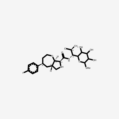 CSC1OC([C@H](NC(=O)[C@H]2NC[C@@H]3C[C@@H](c4ccc(F)cc4)CCO[C@H]32)[C@H](C)Cl)C(O)C(O)C1O